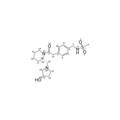 CS(=O)(=O)NCc1ccc(CC(=O)N2CCCC[C@H]2CN2CCC(O)C2)cc1